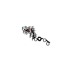 FC(OC(F)(F)C(F)(OC(F)(F)C(F)(F)C(F)(F)F)C(F)(F)F)C(F)(F)Oc1ccc(COCC2CO2)cc1